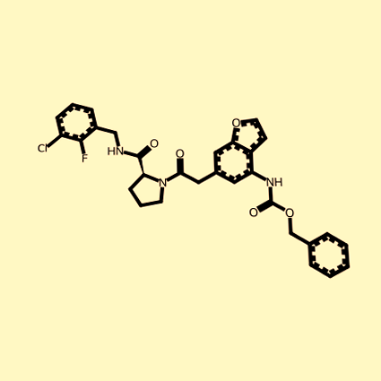 O=C(Nc1cc(CC(=O)N2CCC[C@H]2C(=O)NCc2cccc(Cl)c2F)cc2occc12)OCc1ccccc1